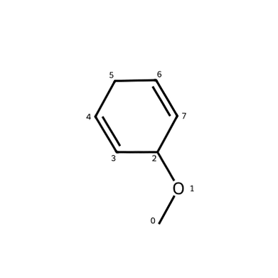 COC1C=CCC=C1